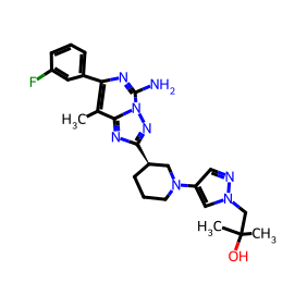 Cc1c(-c2cccc(F)c2)nc(N)n2nc([C@@H]3CCCN(c4cnn(CC(C)(C)O)c4)C3)nc12